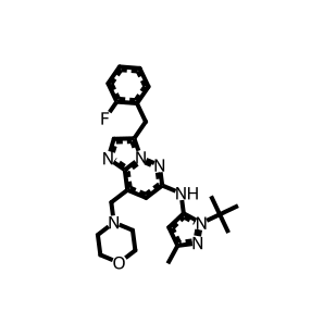 Cc1cc(Nc2cc(CN3CCOCC3)c3ncc(Cc4ccccc4F)n3n2)n(C(C)(C)C)n1